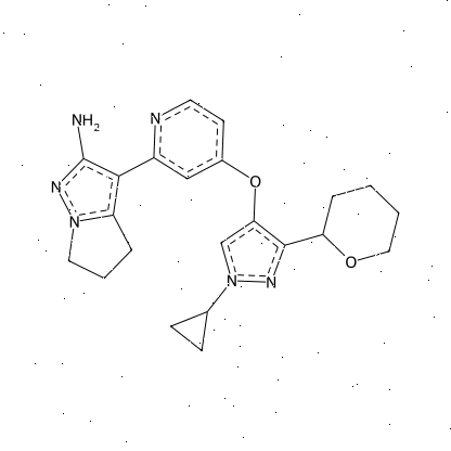 Nc1nn2c(c1-c1cc(Oc3cn(C4CC4)nc3C3CCCCO3)ccn1)CCC2